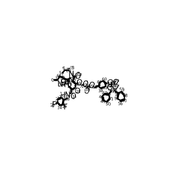 CC1=NO[C@@]2(CC[C@H](C)N3C[C@H]2n2cc(C(=O)NCc4ccc(F)cc4F)c(=O)c(OCOC(=O)OCc4ccc(OP(=O)(OCc5ccccc5)OCc5ccccc5)cc4)c2C3=O)C1